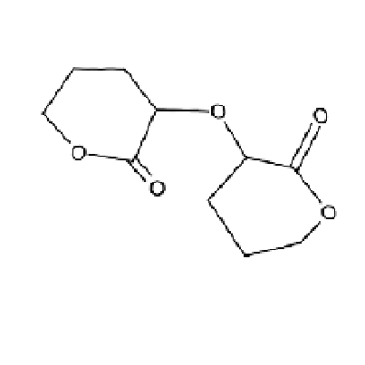 O=C1OCCCC1OC1CCCOC1=O